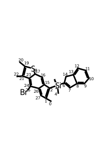 CC1=C([Si](C)(C)C2=Cc3ccccc3C2)C2=CC3SC(C)=C(C)C3=C(Br)C2=C1